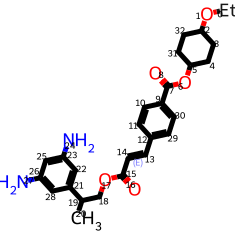 CCOC1CCC(OC(=O)c2ccc(/C=C/C(=O)OCC(C)c3cc(N)cc(N)c3)cc2)CC1